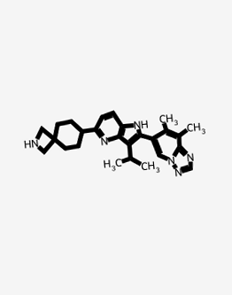 Cc1c(-c2[nH]c3ccc(C4CCC5(CC4)CNC5)nc3c2C(C)C)cn2ncnc2c1C